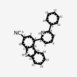 N#Cc1cc(-c2cccc(-c3ccccc3)n2)c2c(c1)sc1ccccc12